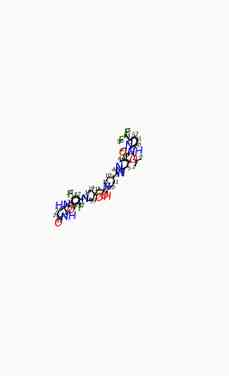 CC(C)Oc1cc2nc(C3CCN(C(=O)CC4(O)CCN(c5cc(F)c(NC6CCC(=O)NC6=O)cc5F)CC4)CC3)cn2cc1C(=O)Nc1cccc(C(F)F)n1